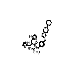 CCC(C(=O)O)N(Cc1ccc(CN2CCC3(CCN(C4CCCCC4)CC3)C2)cc1)C(=O)C(Cc1ncc[nH]1)Cc1ncc[nH]1